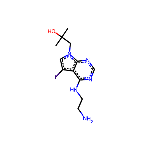 CC(C)(O)Cn1cc(I)c2c(NCCN)ncnc21